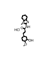 COc1ccc(/C=C/C(=O)Nc2nc3ccccc3n2C)cc1O.Cl